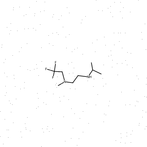 CC(C)NCCN(C)CC(F)(F)F